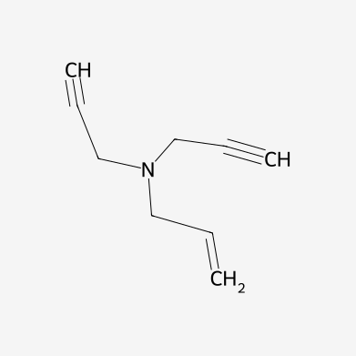 C#CCN(CC#C)CC=C